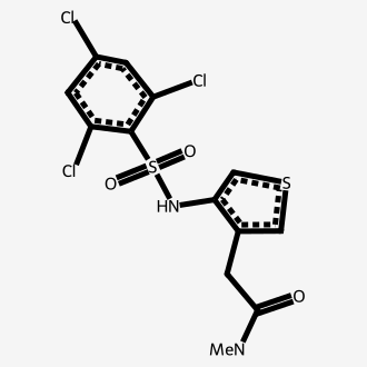 CNC(=O)Cc1cscc1NS(=O)(=O)c1c(Cl)cc(Cl)cc1Cl